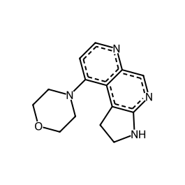 c1cc(N2CCOCC2)c2c3c(ncc2n1)NCC3